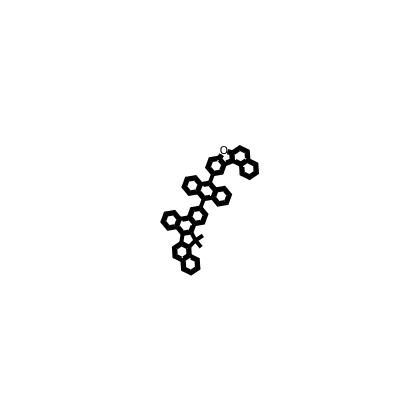 CC1(C)c2c(ccc3ccccc23)-c2c1c1ccc(-c3c4ccccc4c(-c4ccc5oc6ccc7ccccc7c6c5c4)c4ccccc34)cc1c1ccccc21